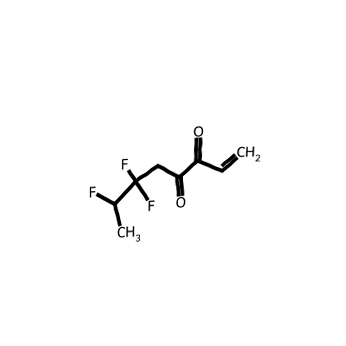 C=CC(=O)C(=O)CC(F)(F)C(C)F